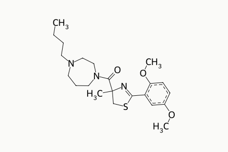 CCCCN1CCCN(C(=O)C2(C)CSC(c3cc(OC)ccc3OC)=N2)CC1